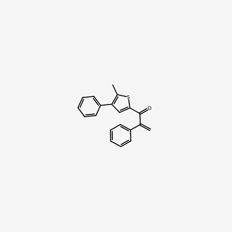 C=C(C(=O)c1cc(-c2ccccc2)c(C)s1)c1ccccc1